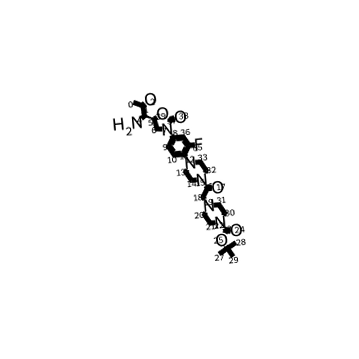 CC(=O)C(N)[C@@H]1CN(c2ccc(N3CCN(C(=O)CN4CCN(C(=O)OC(C)(C)C)CC4)CC3)c(F)c2)C(=O)O1